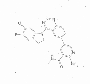 CNC(=O)c1cc(-c2ccc3ncnc(N4CCc5cc(F)c(Cl)cc54)c3c2)cnc1N